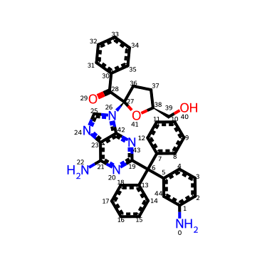 Nc1cccc(C(c2ccccc2)(c2ccccc2)c2nc(N)c3ncn([C@@]4(C(=O)c5ccccc5)CC[C@@H](CO)O4)c3n2)c1